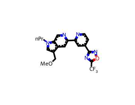 CCCn1cc(COC)c2cc(-c3cc(-c4noc(C(F)(F)F)n4)ccn3)ncc21